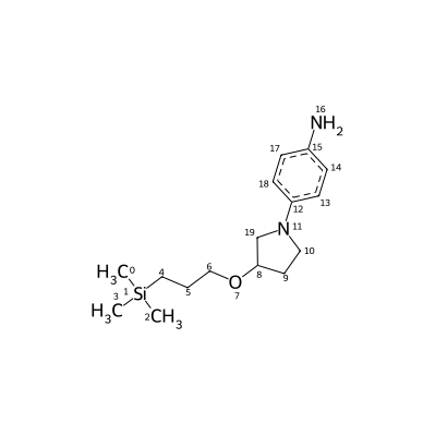 C[Si](C)(C)CCCOC1CCN(c2ccc(N)cc2)C1